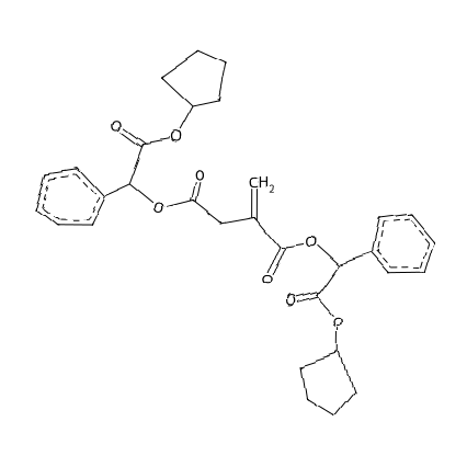 C=C(CC(=O)OC(C(=O)OC1CCCC1)c1ccccc1)C(=O)OC(C(=O)OC1CCCC1)c1ccccc1